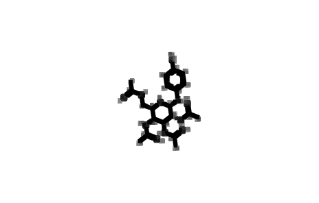 CC(=O)OC[C@H]1O[C@@H](Sc2ccc(Cl)cc2)[C@H](OC(C)=O)[C@@H](OC(C)=O)[C@H]1OC(C)=O